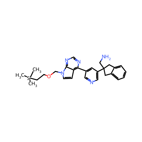 C[Si](C)(C)CCOCn1ccc2c(-c3cncc(C4(CN)Cc5ccccc5C4)c3)ncnc21